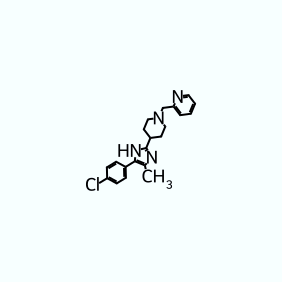 Cc1nc(C2CCN(Cc3ccccn3)CC2)[nH]c1-c1ccc(Cl)cc1